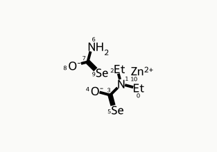 CCN(CC)C([O-])=[Se].NC([O-])=[Se].[Zn+2]